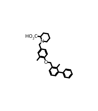 Cc1cc(CN2CCCCC2C(=O)O)ccc1OCc1cccc(-c2ccccc2)c1C